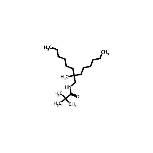 CCCCCCC(C)(CCCCCC)CNC(=O)C(C)(C)C